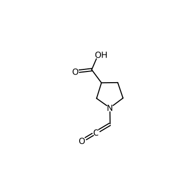 O=C=CN1CCC(C(=O)O)C1